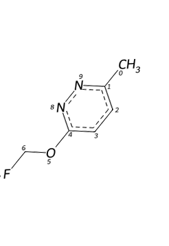 Cc1ccc(OCF)nn1